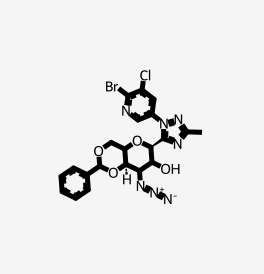 Cc1nc([C@@H]2OC3COC(c4ccccc4)O[C@@H]3C(N=[N+]=[N-])C2O)n(-c2cnc(Br)c(Cl)c2)n1